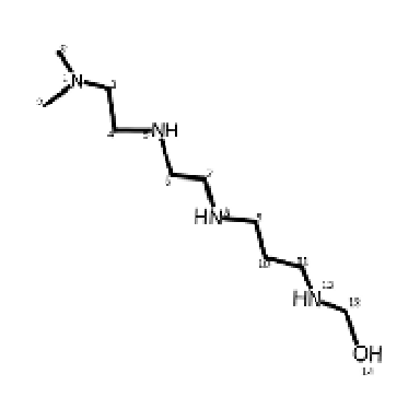 CN(C)CCNCCNCCCNCO